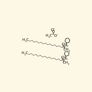 CC(=O)[O-].CCCCCCCCCCCCCCCC[N+](C)(C)Cc1ccccc1.CCCCCCCCCCCCCCCC[N+](C)(C)Cc1ccccc1.[Cl-]